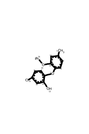 Cc1ccc(Oc2ccc(Cl)cc2O)c(OC(C)C)c1